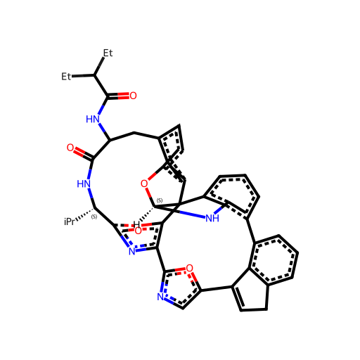 CCC(CC)C(=O)NC1Cc2ccc3c(c2)C24c5cccc(c5N[C@H]2O3)-c2cccc3c2C(=CC3)c2cnc(o2)-c2nc(oc24)[C@H](C(C)C)NC1=O